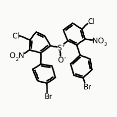 O=[N+]([O-])c1c(Cl)ccc([S+]([O-])c2ccc(Cl)c([N+](=O)[O-])c2-c2ccc(Br)cc2)c1-c1ccc(Br)cc1